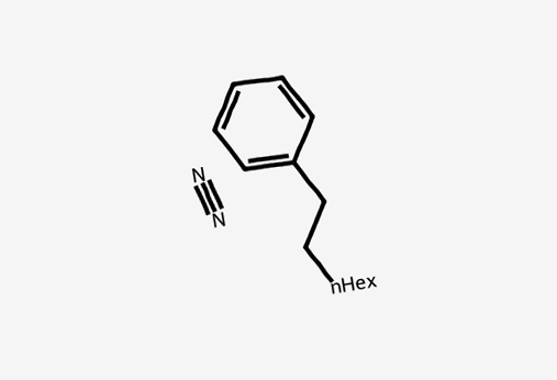 CCCCCCCCc1ccccc1.N#N